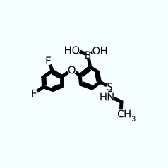 CCNSc1ccc(Oc2ccc(F)cc2F)c(B(O)O)c1